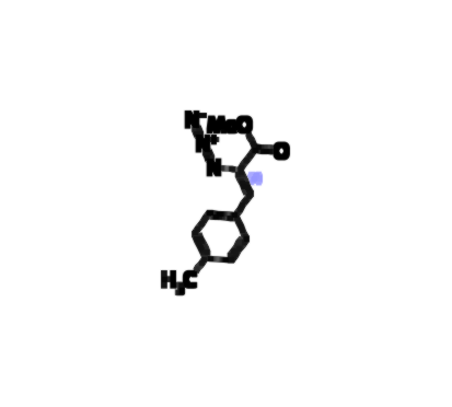 COC(=O)/C(=C/c1ccc(C)cc1)N=[N+]=[N-]